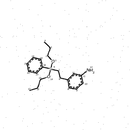 CCCO[Si](CCc1cccc(N)c1)(OCCC)c1ccccc1